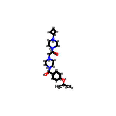 CC(C)Oc1ccc(C(=O)N2CCN(CC(=O)N3CCN(C4CCC4)CC3)CC2)cc1